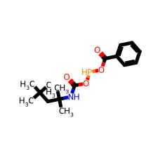 CC(C)(C)CC(C)(C)NC(=O)OPOC(=O)c1ccccc1